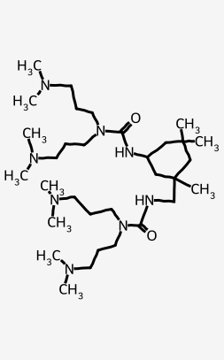 CN(C)CCCN(CCCN(C)C)C(=O)NCC1(C)CC(NC(=O)N(CCCN(C)C)CCCN(C)C)CC(C)(C)C1